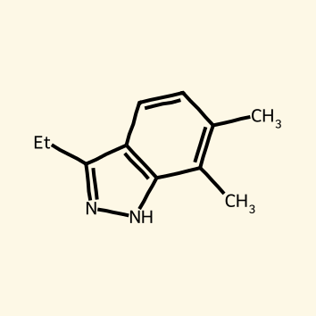 CCc1n[nH]c2c(C)c(C)ccc12